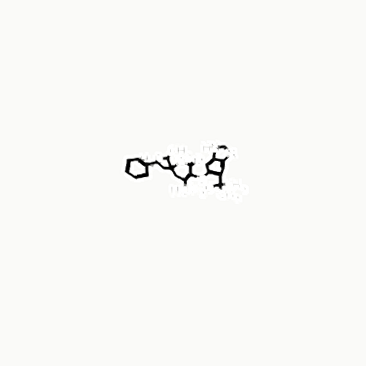 CC(C)C1(CCc2ccccc2)CC(O)=C(Sc2cc3[nH]cnc3cc2C(C)(C)C)C(=O)O1